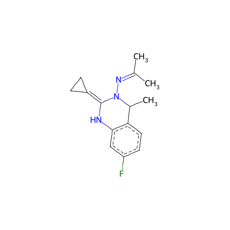 CC(C)=NN1C(=C2CC2)Nc2cc(F)ccc2C1C